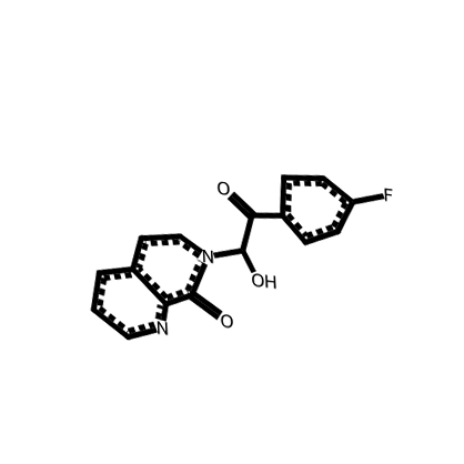 O=C(c1ccc(F)cc1)C(O)n1ccc2cccnc2c1=O